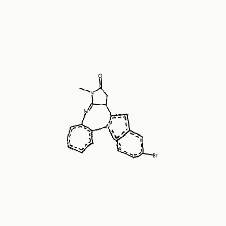 CN1C(=O)CC2C1=Nc1ccccc1-n1c2cc2cc(Br)ccc21